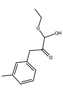 CCOC(O)C(=O)Cc1cccc(C)c1